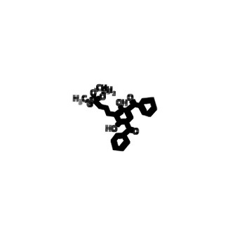 CO[Si](CCCc1c(O)c(C(=O)c2ccccc2)cc(C(=O)c2ccccc2)c1O)(OC)OC